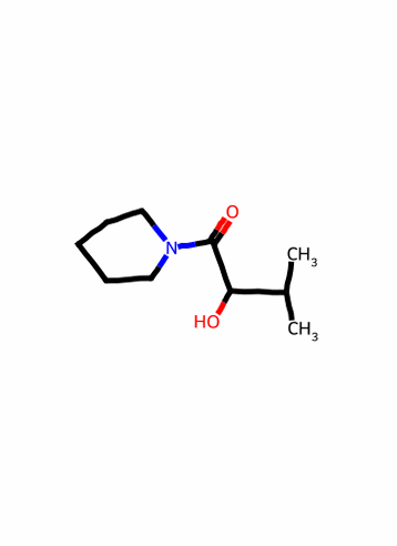 CC(C)C(O)C(=O)N1CCCCC1